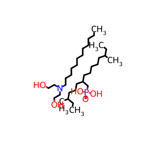 CCC(C)CCCCCC(CCCC(C)CC)CP(=O)(O)O.CCCCCCCCCCCCN(CCO)CCO